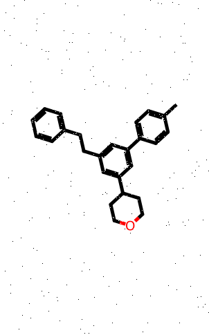 Cc1ccc(-c2cc(CCc3ccccc3)cc(C3CCOCC3)c2)cc1